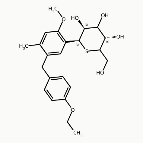 CCOc1ccc(Cc2cc([C@@H]3SC(CO)[C@@H](O)C(O)[C@@H]3O)c(OC)cc2C)cc1